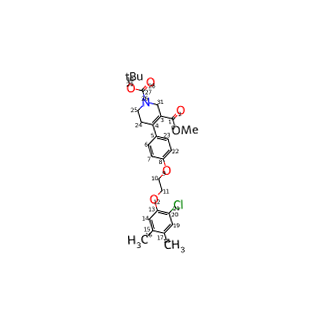 COC(=O)C1=C(c2ccc(OCCOc3cc(C)c(C)cc3Cl)cc2)CCN(C(=O)OC(C)(C)C)C1